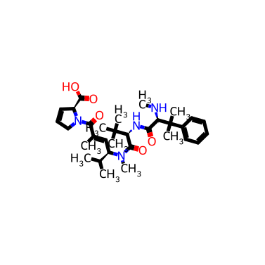 CN[C@H](C(=O)N[C@H](C(=O)N(C)[C@H](/C=C(\C)C(=O)N1CC=C[C@H]1C(=O)O)C(C)C)C(C)(C)C)C(C)(C)c1ccccc1